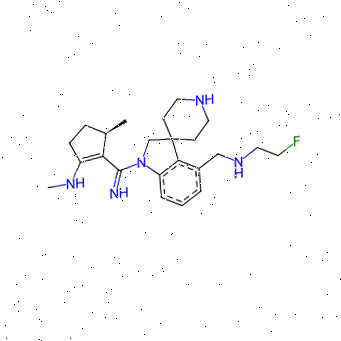 CNC1=C(C(=N)N2CC3(CCNCC3)c3c(CNCCF)cccc32)[C@H](C)CC1